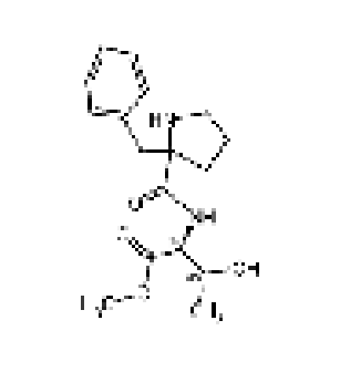 COC(=O)[C@@H](NC(=O)C1(Cc2ccccc2)CCCN1)[C@@H](C)O